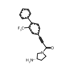 N[C@H]1CCN(C(=O)C#Cc2ccc(-c3ccccc3)c(C(F)(F)F)c2)C1